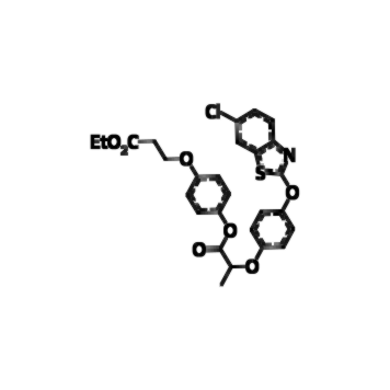 CCOC(=O)CCOc1ccc(OC(=O)C(C)Oc2ccc(Oc3nc4ccc(Cl)cc4s3)cc2)cc1